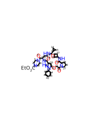 CCOC(=O)N1CCN(C(=O)C(CCNC(=O)C2CC2)NC(=O)c2cc(OCC(=O)N3CCCC3C(=O)NC3CCC3)n(-c3ccccc3)n2)CC1